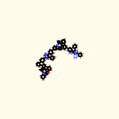 c1ccc(C2=NC(c3ccccc3)=C(c3ccc(-c4ccc5c(c4)-c4ccccc4C54c5ccccc5-n5c6ccc(-c7ccc(-c8nnc(-c9ccc(-c%10ccccc%10-c%10ccc%11c(c%10)C%10(c%12ccccc%12-%11)c%11ccccc%11-n%11c%12ccccc%12c%12cccc%10c%12%11)cc9)nc8-c8ccccc8)cc7)cc6c6cccc4c65)cc3)NN2)cc1